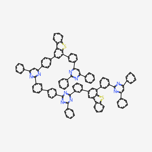 c1ccc(-c2cc(-c3cccc(-c4cc(-c5ccc(-c6cc(-c7ccccc7)nc(-c7cccc(-c8ccc(-c9nc(-c%10ccccc%10)nc(-c%10cccc(-c%11cc(-c%12cccc(-c%13nc(-c%14ccccc%14)cc(-c%14ccccc%14)n%13)c%12)c%12sc%13ccccc%13c%12c%11)c%10)n9)cc8)c7)n6)cc5)cc5c4sc4ccccc45)c3)nc(-c3ccccc3)n2)cc1